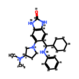 CN(C)[C@@H]1CCN(c2cc3[nH]c(=O)[nH]c3cc2C(Nc2ccccc2)C2CCCCC2)C1